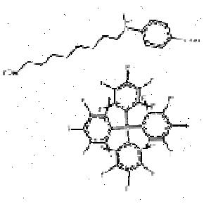 CCCCCCCCCCCCCCCCCC[NH+](C)c1ccc(CCCCCC)cc1.Fc1c(F)c(F)c([B-](c2c(F)c(F)c(F)c(F)c2F)(c2c(F)c(F)c(F)c(F)c2F)c2c(F)c(F)c(F)c(F)c2F)c(F)c1F